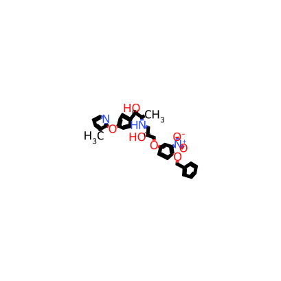 Cc1cccnc1Oc1ccc([C@@H](O)C(C)NC[C@H](O)COc2ccc(OCc3ccccc3)c([N+](=O)[O-])c2)cc1